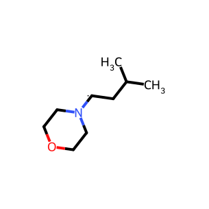 CC(C)C[CH]N1CCOCC1